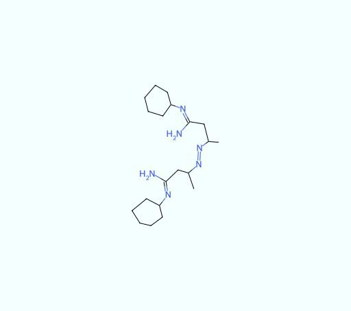 CC(CC(N)=NC1CCCCC1)N=NC(C)CC(N)=NC1CCCCC1